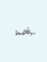 NC(=O)c1ccc(-c2ccc(Cn3c4c(c(O)c(C(=O)NCC(=O)O)c3=O)CCOC4)cc2)cc1